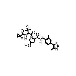 Cc1cc(-c2scnc2C)ccc1CNC(=O)[C@H]1C[C@@H](O)CN1C(=O)C(NC(=O)C1(F)CC1)C(C)(C)S